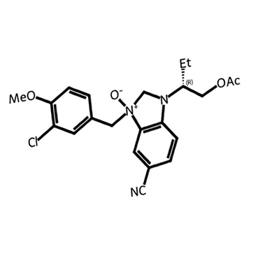 CC[C@H](COC(C)=O)N1C[N+]([O-])(Cc2ccc(OC)c(Cl)c2)c2cc(C#N)ccc21